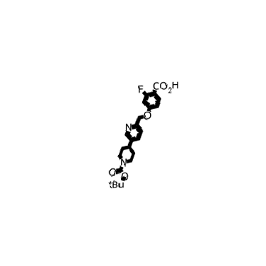 CC(C)(C)OC(=O)N1CCC(c2ccc(COc3ccc(C(=O)O)c(F)c3)nc2)CC1